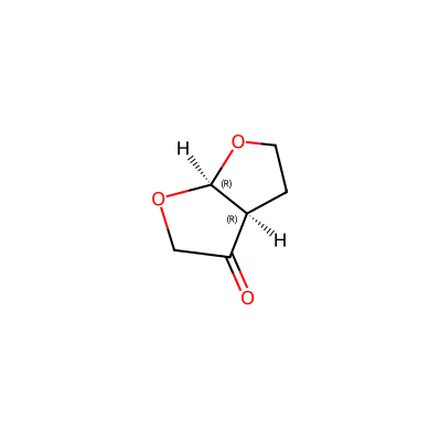 O=C1CO[C@H]2OCC[C@@H]12